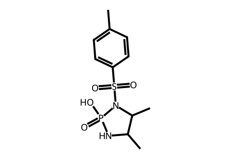 Cc1ccc(S(=O)(=O)N2C(C)C(C)NP2(=O)O)cc1